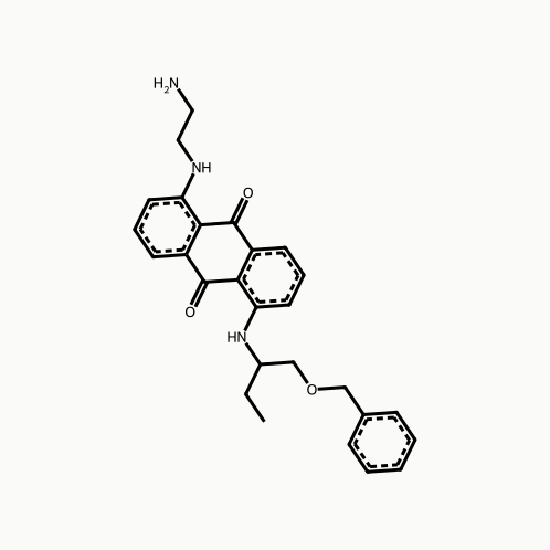 CCC(COCc1ccccc1)Nc1cccc2c1C(=O)c1cccc(NCCN)c1C2=O